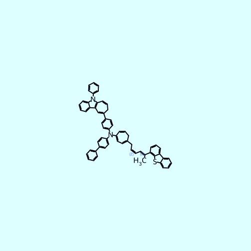 C/C(=C\C=C/CC1=CC=C(N(c2ccc(C3=Cc4c(n(-c5ccccc5)c5ccccc45)C=CC3)cc2)c2ccc(-c3ccccc3)cc2)C=CC1)c1cccc2c1sc1ccccc12